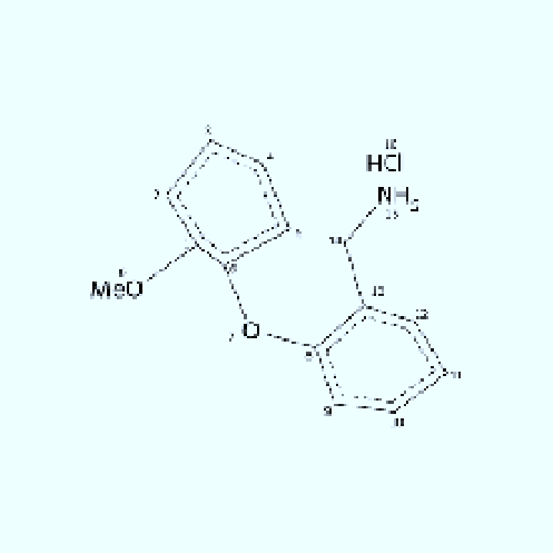 COc1ccccc1Oc1ccccc1CN.Cl